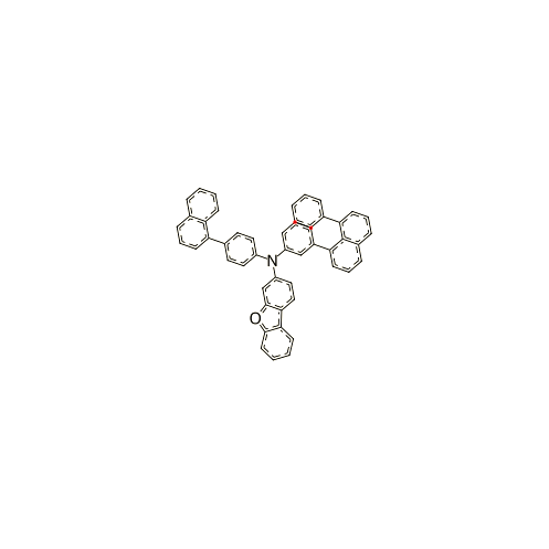 c1ccc(-c2cccc3cccc(-c4cccc(N(c5ccc(-c6cccc7ccccc67)cc5)c5ccc6c(c5)oc5ccccc56)c4)c23)cc1